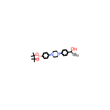 CC(C)(C)C(O)c1ccc(N2CCN(c3ccc(B4OC(C)(C)C(C)(C)O4)cc3)CC2)cc1